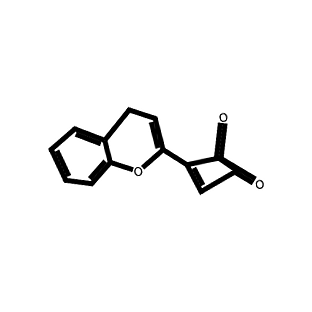 O=c1cc(C2=CCc3ccccc3O2)c1=O